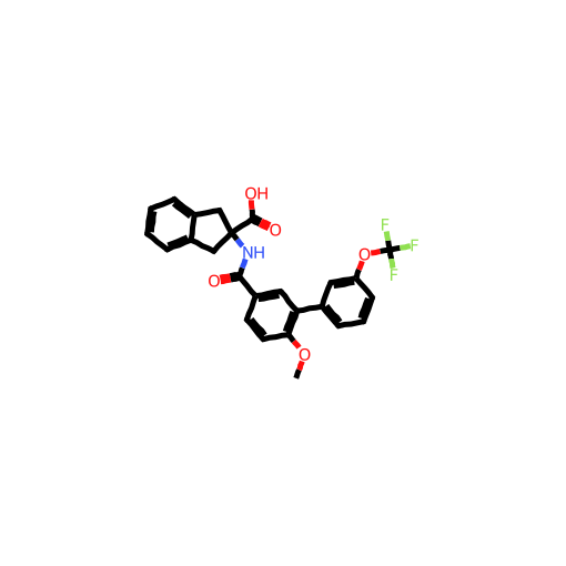 COc1ccc(C(=O)NC2(C(=O)O)Cc3ccccc3C2)cc1-c1cccc(OC(F)(F)F)c1